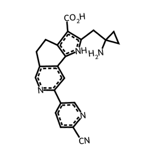 N#Cc1ccc(-c2cc3c(cn2)CCc2c-3[nH]c(CC3(N)CC3)c2C(=O)O)cn1